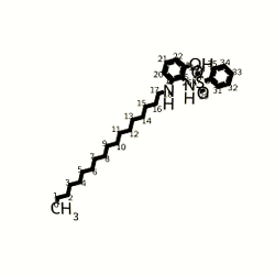 CCCCCCCCCCCCCCCCCCNc1cccc(O)c1NS(=O)(=O)c1ccccc1